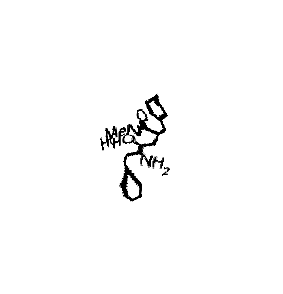 CNC(=O)C(Cc1ccccc1)C[C@H](O)C(N)CC1CCCCC1.Cl